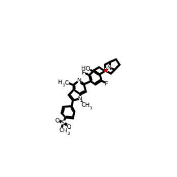 Cc1nc(-c2cc(F)c(N3CC4CCC(C3)N4CCCO)cc2F)cc2c1cc(-c1ccc(S(C)(=O)=O)cc1)n2C